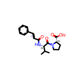 CC(C)[C@H](NC(=O)/C=C/c1ccccc1)C(=O)N1CCC[C@H]1C(=O)O